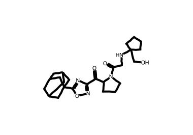 O=C(c1noc(C23CC4CC(CC(C4)C2)C3)n1)C1CCCN1C(=O)CNC1(CO)CCCC1